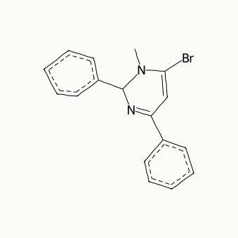 CN1C(Br)=CC(c2ccccc2)=NC1c1ccccc1